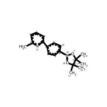 Cc1cccc(-c2ccc(B3OC(C)(C)C(C)(C)O3)cc2)n1